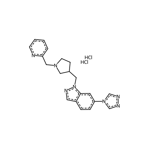 Cl.Cl.c1ccc(CN2CCC(Cn3ncc4ccc(-n5cnnc5)cc43)C2)nc1